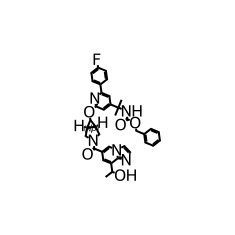 CC(O)c1cc(C(=O)N2C[C@@H]3C(Oc4cc(C(C)(C)NC(=O)OCc5ccccc5)cc(-c5ccc(F)cc5)n4)[C@@H]3C2)cn2ccnc12